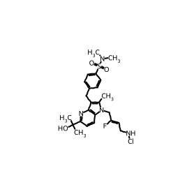 Cc1c(Cc2ccc(S(=O)(=O)N(C)C)cc2)c2nc(C(C)(C)O)ccc2n1C/C(F)=C/CNCl